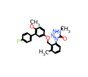 COc1ccc(OCc2c(C)cccc2-n2nnn(C)c2=O)cc1-c1ccc(F)cc1